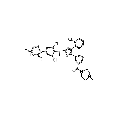 CN1CCN(C(=O)c2cccc(-c3sc(C(C)(C)c4c(Cl)cc(-n5ncc(=O)[nH]c5=O)cc4Cl)nc3-c3ccccc3Cl)c2)CC1